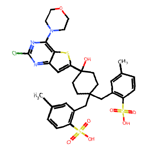 Cc1ccc(S(=O)(=O)O)c(CC2(Cc3cc(C)ccc3S(=O)(=O)O)CCC(O)(c3cc4nc(Cl)nc(N5CCOCC5)c4s3)CC2)c1